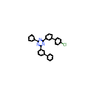 Clc1ccc(-c2cccc(-c3nc(-c4ccccc4)nc(-c4cccc(-c5ccccc5)c4)n3)c2)cc1